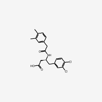 Cc1ccc(CC(=O)N[C@H](CC(=O)O)Cc2ccc(Cl)c(Cl)c2)cc1C